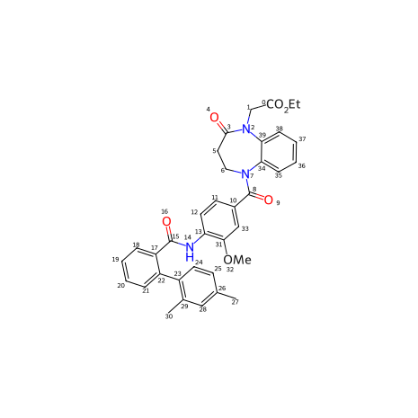 CCOC(=O)CN1C(=O)CCN(C(=O)c2ccc(NC(=O)c3ccccc3-c3ccc(C)cc3C)c(OC)c2)c2ccccc21